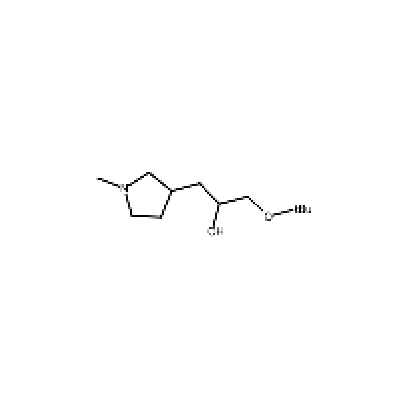 CN1CCC(CC(O)COC(C)(C)C)C1